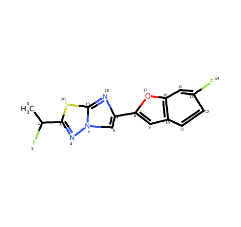 CC(F)c1nn2cc(-c3cc4ccc(F)cc4o3)nc2s1